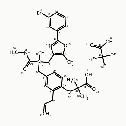 C=CCc1cc(C[N+](C)(Cc2nc(-c3cccc(Br)c3)oc2C)C(=O)NC)ccc1OC(C)(C)C(=O)O.O=C(O)C(F)(F)F